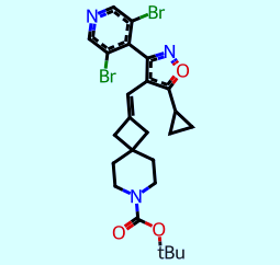 CC(C)(C)OC(=O)N1CCC2(CC1)CC(=Cc1c(-c3c(Br)cncc3Br)noc1C1CC1)C2